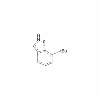 CC(C)(C)c1cccc2c[nH]cc12